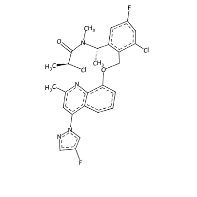 Cc1cc(-n2cc(F)cn2)c2cccc(OCc3c(Cl)cc(F)cc3[C@H](C)N(C)C(=O)[C@H](C)Cl)c2n1